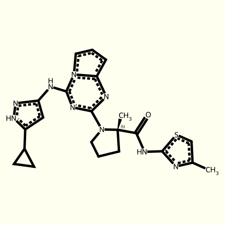 Cc1csc(NC(=O)[C@]2(C)CCCN2c2nc(Nc3cc(C4CC4)[nH]n3)n3cccc3n2)n1